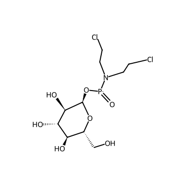 O=[P](O[C@H]1O[C@H](CO)[C@@H](O)[C@H](O)[C@H]1O)N(CCCl)CCCl